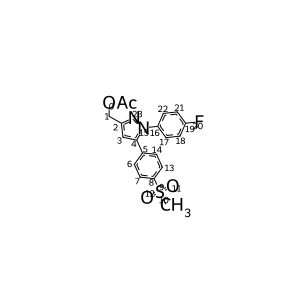 CC(=O)OCc1cc(-c2ccc(S(C)(=O)=O)cc2)n(-c2ccc(F)cc2)n1